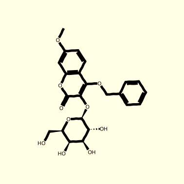 COc1ccc2c(OCc3ccccc3)c(O[C@@H]3O[C@H](CO)[C@H](O)[C@H](O)[C@H]3O)c(=O)oc2c1